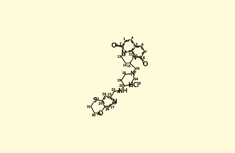 Cl.O=c1ccc2ccc(=O)n3c2n1CCC3CN1CCC(NCc2cc3c(cn2)OCCS3)CC1